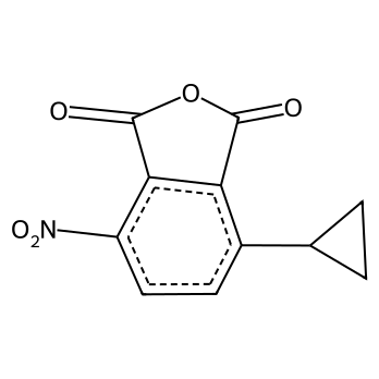 O=C1OC(=O)c2c([N+](=O)[O-])ccc(C3CC3)c21